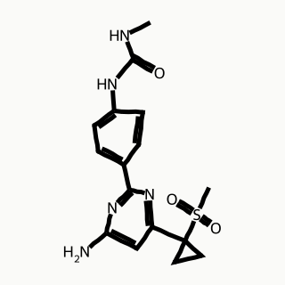 CNC(=O)Nc1ccc(-c2nc(N)cc(C3(S(C)(=O)=O)CC3)n2)cc1